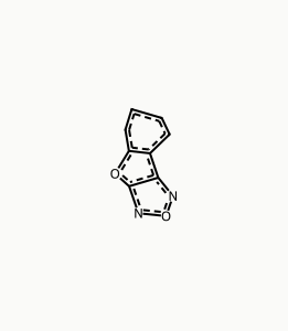 c1ccc2c(c1)oc1nonc12